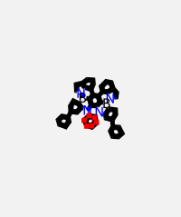 c1ccc(-c2ccc3c(c2)N(c2ccccc2)c2c4c(c5c6c2N(c2ccccc2)c2cc(-c7ccccc7)ccc2B6n2ccc6cccc-5c62)-c2cccc5ccn(c25)B34)cc1